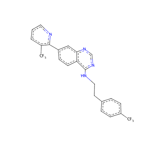 FC(F)(F)c1ccc(CCNc2ncnc3cc(-c4ncccc4C(F)(F)F)ccc23)cc1